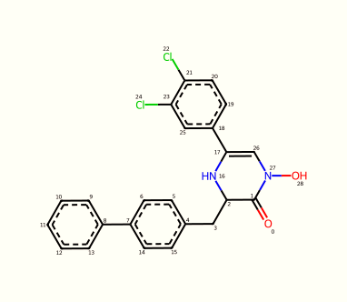 O=C1C(Cc2ccc(-c3ccccc3)cc2)NC(c2ccc(Cl)c(Cl)c2)=CN1O